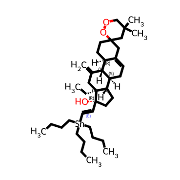 C=C1C[C@@]2(CC)[C@@H](CC[C@@]2(O)/C=[CH]/[Sn]([CH2]CCC)([CH2]CCC)[CH2]CCC)[C@@H]2CC=C3CC4(CC[C@@H]3[C@@H]12)CC(C)(C)COO4